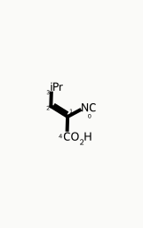 [C-]#[N+]/C(=C\C(C)C)C(=O)O